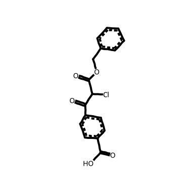 O=C(O)c1ccc(C(=O)C(Cl)C(=O)OCc2ccccc2)cc1